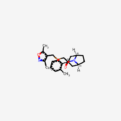 Cc1ccccc1[C@H]1C[C@H]2CC[C@@H](C1)N2C(=O)CSCc1c(C)noc1C